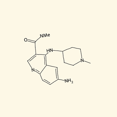 CNC(=O)c1cnc2ccc(N)cc2c1NC1CCN(C)CC1